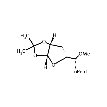 CCCCC[C@@H](OC)[C@H]1C[C@H]2OC(C)(C)O[C@H]2O1